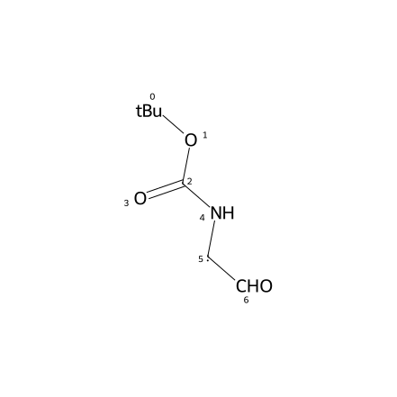 CC(C)(C)OC(=O)N[CH]C=O